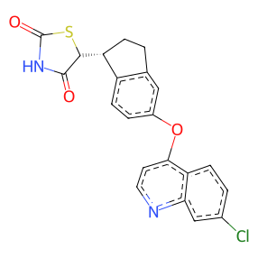 O=C1NC(=O)C([C@@H]2CCc3cc(Oc4ccnc5cc(Cl)ccc45)ccc32)S1